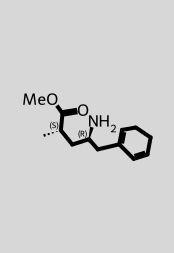 COC(=O)[C@@H](C)C[C@@H](N)CC1=CCCC=C1